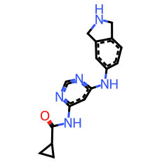 O=C(Nc1cc(Nc2ccc3c(c2)CNC3)ncn1)C1CC1